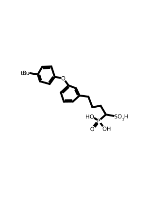 CC(C)(C)c1ccc(Oc2cccc(CCCC(P(=O)(O)O)S(=O)(=O)O)c2)cc1